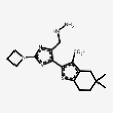 CC1(C)CCc2sc(-c3sc(N4CCC4)nc3CNN)c(C(=O)O)c2C1